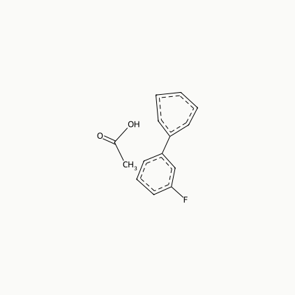 CC(=O)O.Fc1cccc(-c2ccccc2)c1